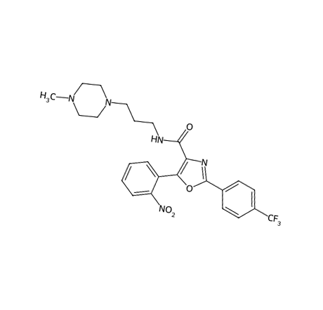 CN1CCN(CCCNC(=O)c2nc(-c3ccc(C(F)(F)F)cc3)oc2-c2ccccc2[N+](=O)[O-])CC1